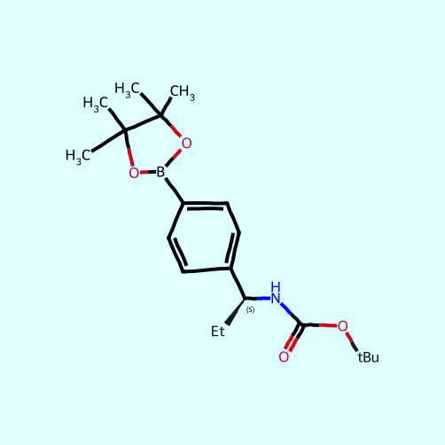 CC[C@H](NC(=O)OC(C)(C)C)c1ccc(B2OC(C)(C)C(C)(C)O2)cc1